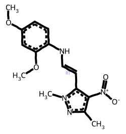 COc1ccc(N/C=C/c2c([N+](=O)[O-])c(C)nn2C)c(OC)c1